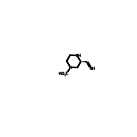 N=C[C@@H]1CN(C(=O)O)CCN1